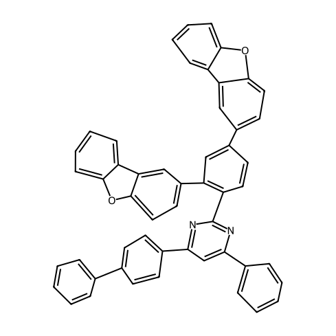 c1ccc(-c2ccc(-c3cc(-c4ccccc4)nc(-c4ccc(-c5ccc6oc7ccccc7c6c5)cc4-c4ccc5oc6ccccc6c5c4)n3)cc2)cc1